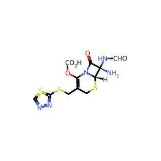 N[C@]1(NC=O)C(=O)N2C(OC(=O)O)=C(CSc3nncs3)CS[C@H]21